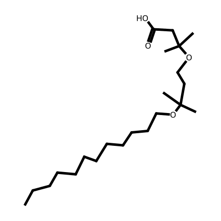 CCCCCCCCCCCCOC(C)(C)CCOC(C)(C)CC(=O)O